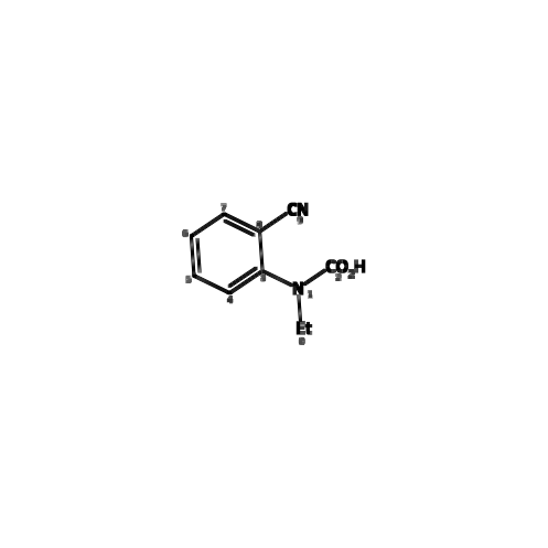 CCN(C(=O)O)c1ccccc1C#N